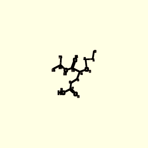 CCCOC(CCC(=O)O)C(=O)OC(C)C